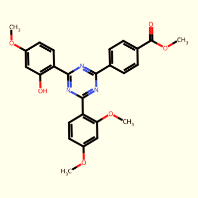 COC(=O)c1ccc(-c2nc(-c3ccc(OC)cc3O)nc(-c3ccc(OC)cc3OC)n2)cc1